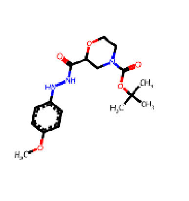 COc1ccc(NNC(=O)C2CN(C(=O)OC(C)(C)C)CCO2)cc1